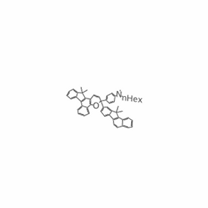 CCCCCCN(C)c1ccc(C2(c3ccc4c(c3)C(C)(C)c3c-4ccc4ccccc34)C=Cc3c4c(c5ccccc5c3O2)-c2ccccc2C4(C)C)cc1